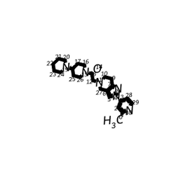 Cc1cc(-n2cc3c(n2)CCN(CC(=O)N2CCC(N4CCCCC4)CC2)C3)ccn1